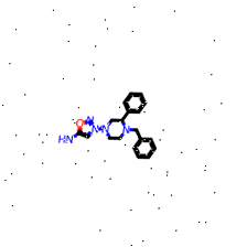 [NH-]c1c[n+](N2CCN(Cc3ccccc3)C(c3ccccc3)C2)no1